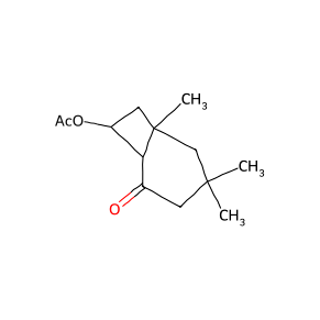 CC(=O)OC1CC2(C)CC(C)(C)CC(=O)C12